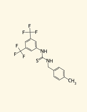 Cc1ccc(CNC(=S)Nc2cc(C(F)(F)F)cc(C(F)(F)F)c2)cc1